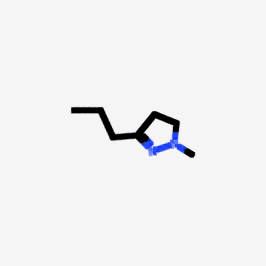 CCCC1=NN(C)CC1